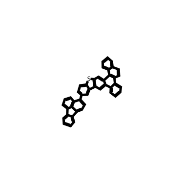 c1ccc2c(c1)-c1cccc3c(-c4ccc5sc6cc7c(cc6c5c4)c4ccccc4c4ccc5ccccc5c47)ccc-2c13